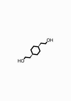 OCC[C@H]1CC[C@@H](CCO)CC1